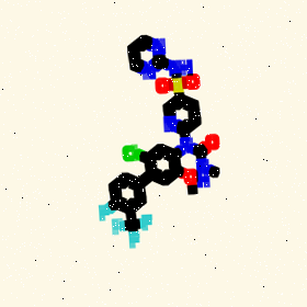 CNC(=O)N(c1ccc(S(=O)(=O)Nc2ncccn2)cn1)c1cc(Cl)c(-c2ccc(F)c(C(F)(F)F)c2)cc1OC